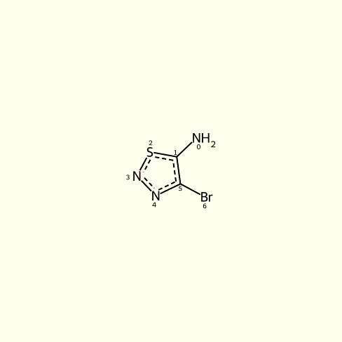 Nc1snnc1Br